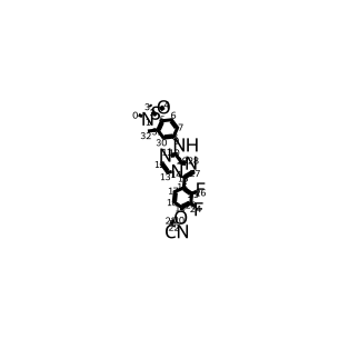 CN=S(C)(=O)c1ccc(Nc2nccn3c(-c4ccc(OCC#N)c(F)c4F)cnc23)cc1C